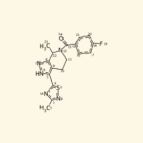 Cc1nsc(-c2[nH]nc3c2CCN(C(=O)c2ccc(F)cc2)C3C)n1